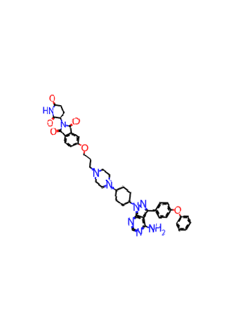 Nc1ncnc2c1c(-c1ccc(Oc3ccccc3)cc1)nn2C1CCC(N2CCN(CCCOc3ccc4c(c3)C(=O)N(C3CCC(=O)NC3=O)C4=O)CC2)CC1